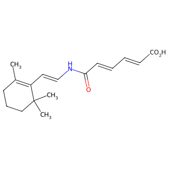 CC1=C(C=CNC(=O)C=CC=CC(=O)O)C(C)(C)CCC1